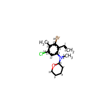 C=Cc1c(N(C)C2CCCCO2)cc(Cl)c(C)c1Br